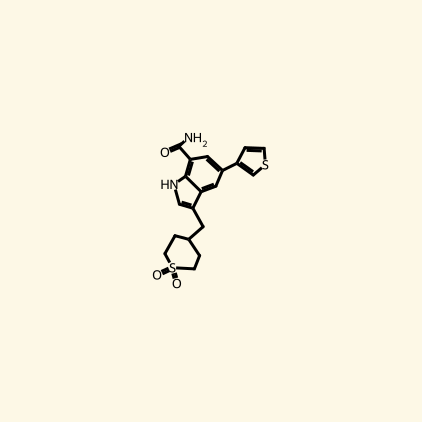 NC(=O)c1cc(-c2ccsc2)cc2c(CC3CCS(=O)(=O)CC3)c[nH]c12